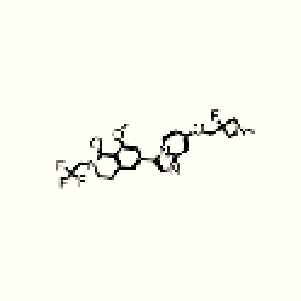 COc1cc(-c2cnc3cc(OCC4(F)CN(C)C4)ccn23)cc2c1C(=O)N(CC(F)(F)F)CC2